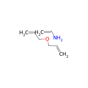 C=CCOCC=C.C=CN